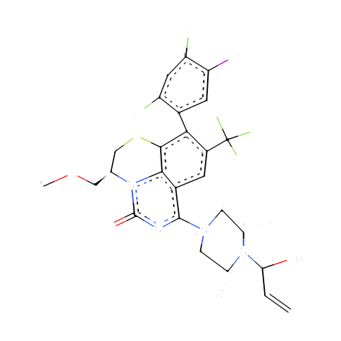 C=CC(O)N1[C@H](C)CN(c2nc(=O)n3c4c(c(-c5cc(I)c(F)cc5F)c(C(F)(F)F)cc24)SC[C@@H]3COC)C[C@@H]1C